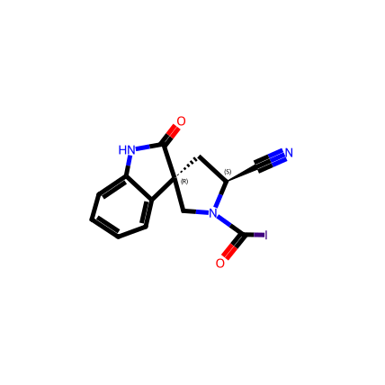 N#C[C@@H]1C[C@@]2(CN1C(=O)I)C(=O)Nc1ccccc12